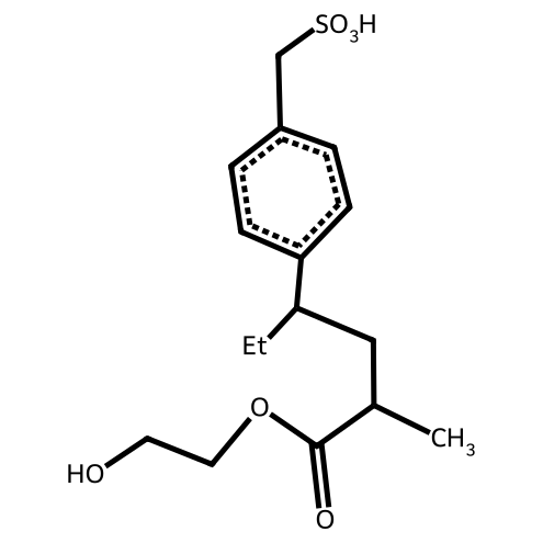 CCC(CC(C)C(=O)OCCO)c1ccc(CS(=O)(=O)O)cc1